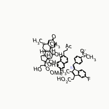 CC1=C(CC(=O)O)c2cc(F)ccc2/C1=C\c1ccc([S+](C)[O-])cc1.COc1ccc2cc(CCC(C)=O)ccc2c1.C[C@H]1C[C@@H]2[C@H]([C@@H](O)C[C@@]3(C)[C@H]2CC[C@]3(O)C(=O)CO)[C@@]2(C)C=CC(=O)C=C12